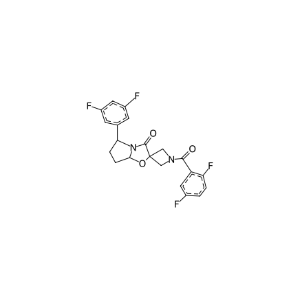 O=C(c1cc(F)ccc1F)N1CC2(C1)OC1CCC(c3cc(F)cc(F)c3)N1C2=O